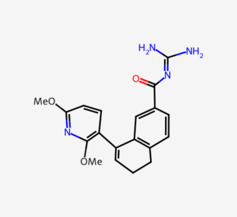 COc1ccc(C2=CCCc3ccc(C(=O)N=C(N)N)cc32)c(OC)n1